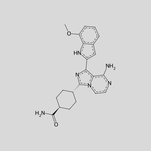 COc1cccc2cc(-c3nc([C@H]4CC[C@H](C(N)=O)CC4)n4ccnc(N)c34)[nH]c12